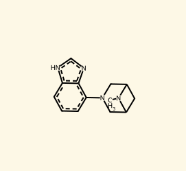 CN1C2CC1CN(c1cccc3[nH]cnc13)C2